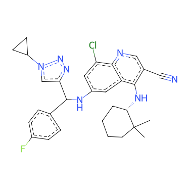 CC1(C)CCCC[C@@H]1Nc1c(C#N)cnc2c(Cl)cc(NC(c3ccc(F)cc3)c3cn(C4CC4)nn3)cc12